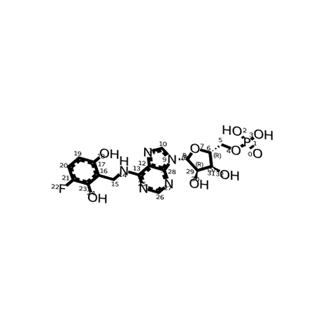 O=P(O)(O)OC[C@H]1O[C@@H](n2cnc3c(NCc4c(O)ccc(F)c4O)ncnc32)[C@H](O)[C@@H]1O